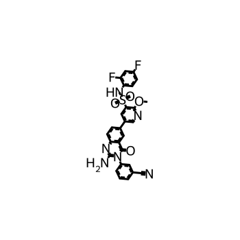 COc1ncc(-c2ccc3nc(N)n(-c4cccc(C#N)c4)c(=O)c3c2)cc1S(=O)(=O)Nc1ccc(F)cc1F